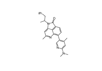 Cc1cc2c3c(ccc(-c4cnc(N(C)C)cc4C)c3n1)C(=O)N2C(C)CC(C)C